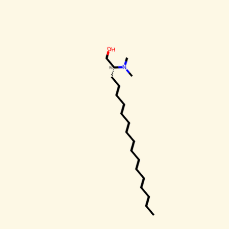 CCCCCCCCCCCCCCCC[C@H](CO)N(C)C